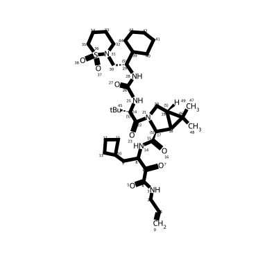 C=CCNC(=O)C(=O)C(CC1CCC1)NC(=O)[C@@H]1C2[C@H](CN1C(=O)[C@@H](NC(=O)N[C@H](CN1CCCCS1(=O)=O)C1CCCCC1)C(C)(C)C)C2(C)C